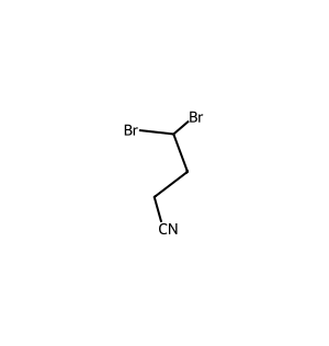 N#CCCC(Br)Br